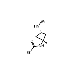 CCC(=O)N[C@]1(C)C[C@H](NC(C)C)C1